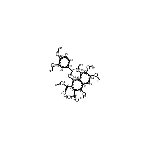 COC(=O)c1c(C(=O)O)c(OC)c2cc(OC)c(OC)c(OC)c2c1OCc1ccc(OC)c(OC)c1